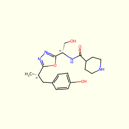 C[C@@H](Cc1ccc(O)cc1)c1nnc([C@H](CO)NC(=O)C2CCNCC2)o1